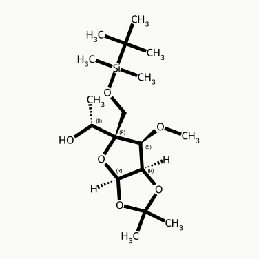 CO[C@H]1[C@H]2OC(C)(C)O[C@H]2O[C@]1(CO[Si](C)(C)C(C)(C)C)[C@@H](C)O